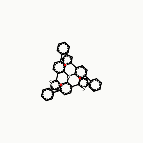 c1ccc(-c2ccc(-c3cccs3)c(N(c3cc(-c4ccccc4)ccc3-c3cccs3)c3cc(-c4ccccc4)ccc3-c3cccs3)c2)cc1